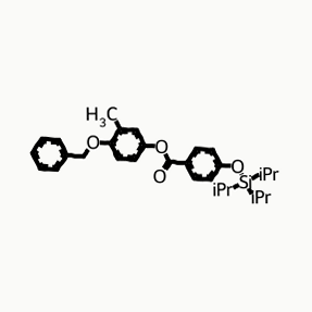 Cc1cc(OC(=O)c2ccc(O[Si](C(C)C)(C(C)C)C(C)C)cc2)ccc1OCc1ccccc1